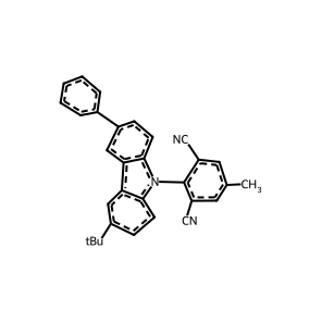 Cc1cc(C#N)c(-n2c3ccc(-c4ccccc4)cc3c3cc(C(C)(C)C)ccc32)c(C#N)c1